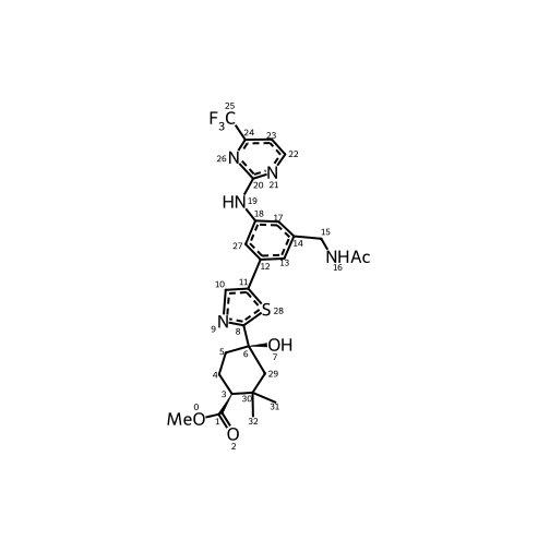 COC(=O)[C@H]1CC[C@](O)(c2ncc(-c3cc(CNC(C)=O)cc(Nc4nccc(C(F)(F)F)n4)c3)s2)CC1(C)C